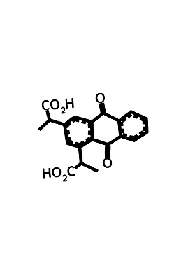 CC(C(=O)O)c1cc2c(c(C(C)C(=O)O)c1)C(=O)c1ccccc1C2=O